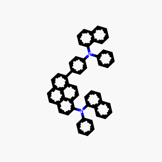 c1ccc(N(c2ccc(-c3ccc4ccc5ccc(N(c6ccccc6)c6cccc7ccccc67)c6ccc3c4c56)cc2)c2cccc3ccccc23)cc1